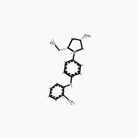 CO[C@H]1C[C@@H](CO)N(c2ccc(Oc3ccccc3C)cc2)C1